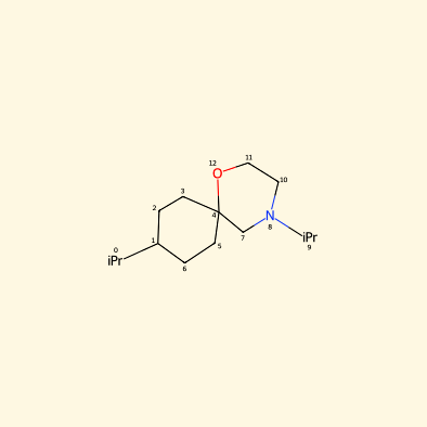 CC(C)C1CCC2(CC1)CN(C(C)C)CCO2